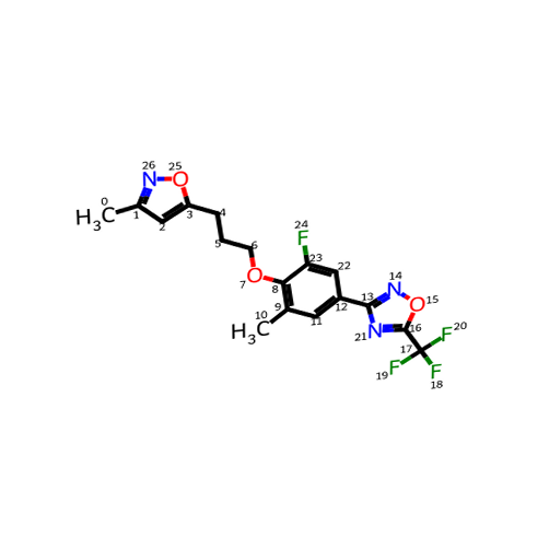 Cc1cc(CCCOc2c(C)cc(-c3noc(C(F)(F)F)n3)cc2F)on1